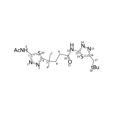 CC(=O)Nc1nnc(C(C)(C)CCC(=O)Nc2nnc(CC(C)(C)C)s2)s1